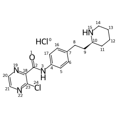 Cl.O=C(Nc1ccc(CC[C@@H]2CCCCN2)cc1)c1nccnc1Cl